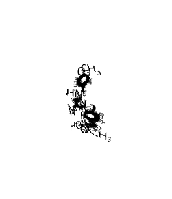 COc1ccc(CNc2cc(C#N)cc(Oc3ccc(CC(C)NC(=O)O)cc3)n2)cc1